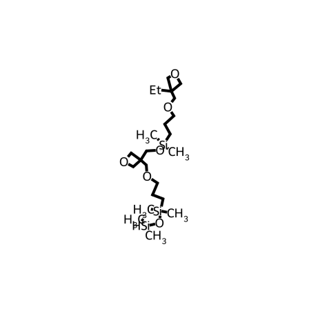 CCC1(COCCC[Si](C)(C)OCC2(COCCC[Si](C)(C)O[SiH](C)C)COC2)COC1